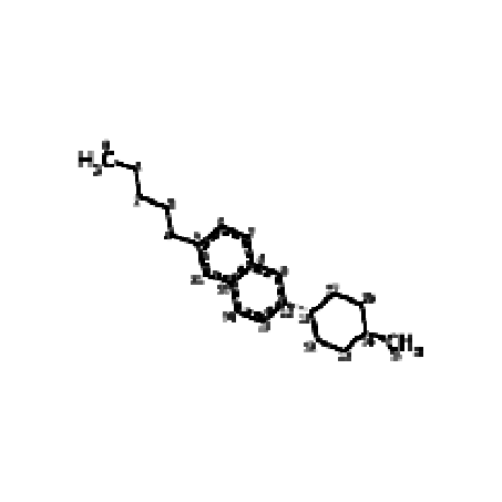 CCCCCc1ccc2cc([C@H]3CC[C@H](C)CC3)ccc2c1